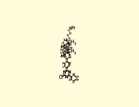 CC(C)CCCC[C@H]1CC[C@H]2[C@@H]3CC[C@H]4CC(c5ccc(-c6nc(Cl)nc(-c7ccccc7)n6)cc5)CC[C@]4(C)[C@H]3CC[C@]12C